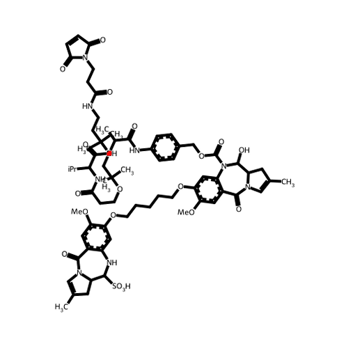 COc1cc2c(cc1OCCCCCOc1cc3c(cc1OC)C(=O)N1C=C(C)CC1C(O)N3C(=O)OCc1ccc(NC(=O)C(C)NC(=O)C(NC(=O)CCOC(C)(C)COC(C)(C)CCNC(=O)CCN3C(=O)C=CC3=O)C(C)C)cc1)NC(S(=O)(=O)O)C1CC(C)=CN1C2=O